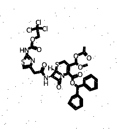 COC(OC(C)=O)C1=C(C(=O)OC(c2ccccc2)c2ccccc2)N2C(=O)[C@H](NC(=O)Cc3csc(NC(=O)OCC(Cl)(Cl)Cl)n3)[C@H]2SC1